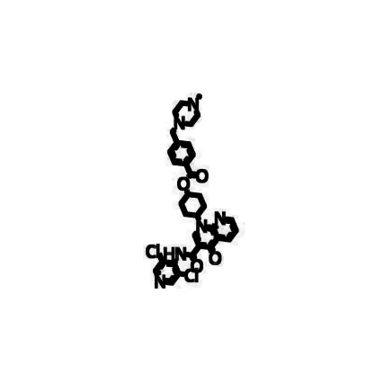 CN1CCN(Cc2ccc(C(=O)OC3CCC(n4cc(C(=O)Nc5c(Cl)cncc5Cl)c(=O)c5cccnc54)CC3)cc2)CC1